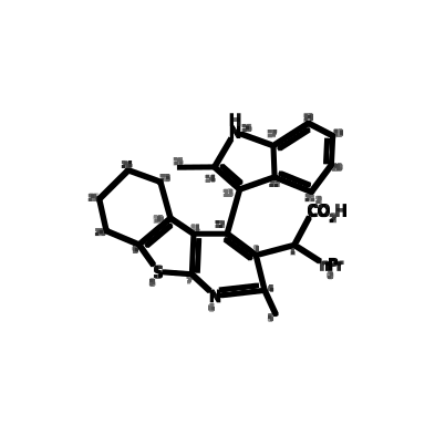 CCCC(C(=O)O)c1c(C)nc2sc3c(c2c1-c1c(C)[nH]c2ccccc12)CCCC3